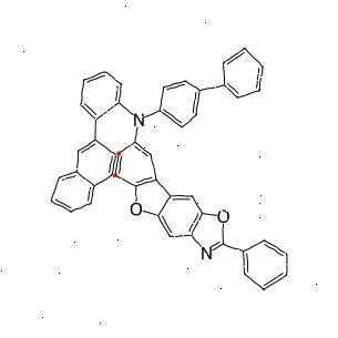 c1ccc(-c2ccc(N(c3ccc4oc5cc6nc(-c7ccccc7)oc6cc5c4c3)c3ccccc3-c3ccc4ccccc4c3)cc2)cc1